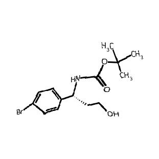 CC(C)(C)OC(=O)N[C@H](CCO)c1ccc(Br)cc1